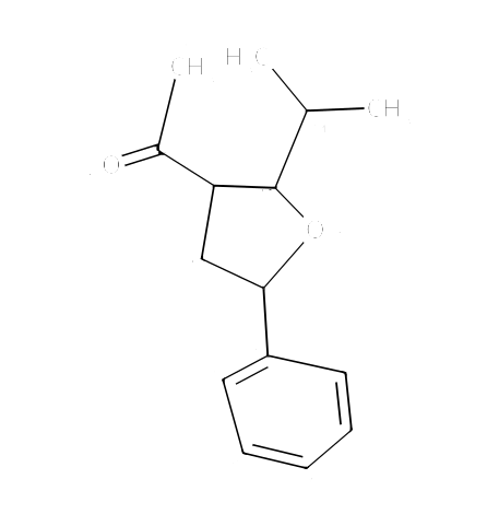 CC(=O)C1CC(c2ccccc2)OC1C(C)C